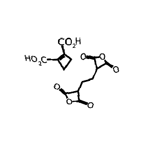 O=C(O)C1=C(C(=O)O)CC1.O=C1OC(=O)C1CCC1C(=O)OC1=O